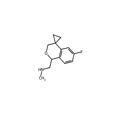 CNCC1OCC2(CC2)c2cc(F)ccc21